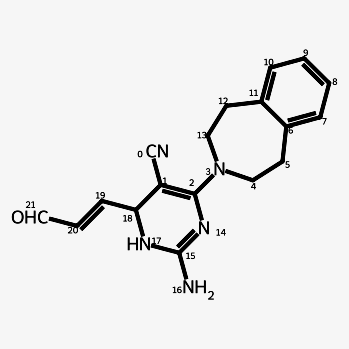 N#CC1=C(N2CCc3ccccc3CC2)N=C(N)NC1C=CC=O